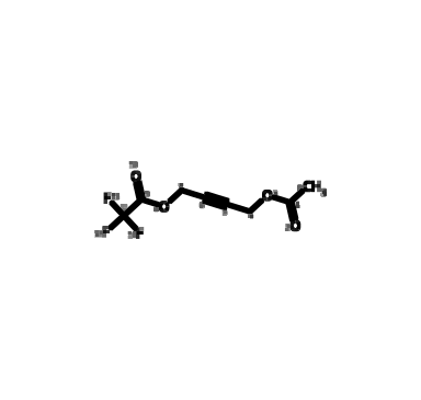 CC(=O)OCC#CCOC(=O)C(F)(F)F